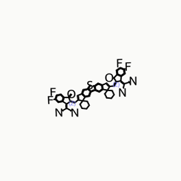 N#CC(C#N)=C1/C(=C/C2=Cc3cc4sc5cc6c(cc5c4cc3C23CCCCC3)C2(CCCCC2)C(/C=C2\C(=O)c3cc(F)c(F)cc3C2=C(C#N)C#N)=C6)C(=O)c2cc(F)c(F)cc21